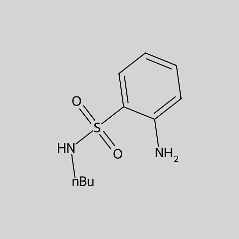 CCCCNS(=O)(=O)c1ccccc1N